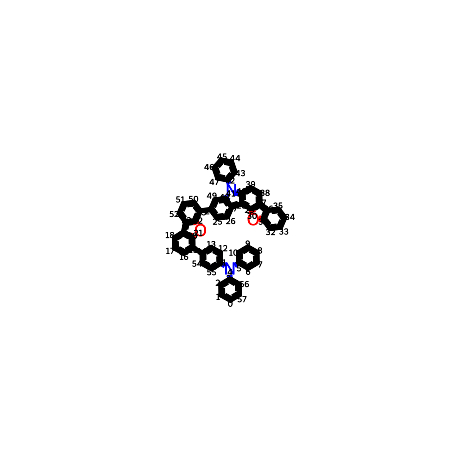 c1ccc(N(c2ccccc2)c2ccc(-c3cccc4c3oc3c(-c5ccc6c7c8oc9ccccc9c8ccc7n(-c7ccccc7)c6c5)cccc34)cc2)cc1